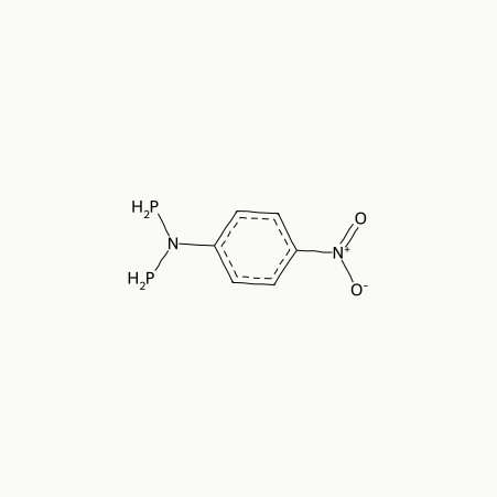 O=[N+]([O-])c1ccc(N(P)P)cc1